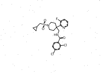 O=C(NCC1(c2ncccc2F)CCN(S(=O)(=O)CC2CC2)CC1)c1ccc(Cl)cc1Cl